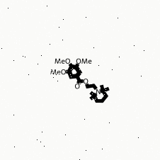 COc1cc(C(=O)OCCN2C(C)(C)CCCC2(C)C)cc(OC)c1OC